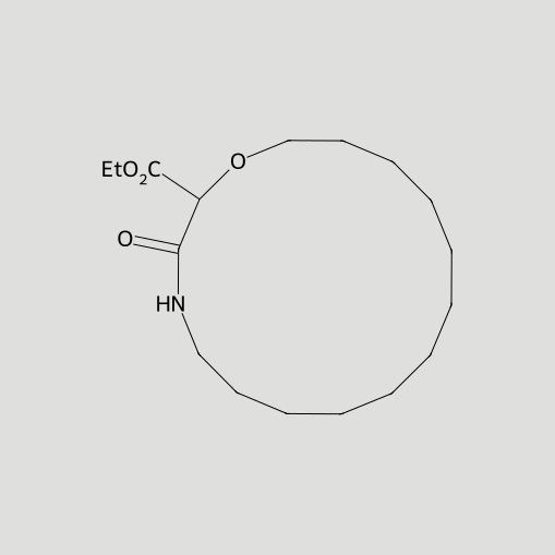 CCOC(=O)C1OCCCCCCCCCCCCNC1=O